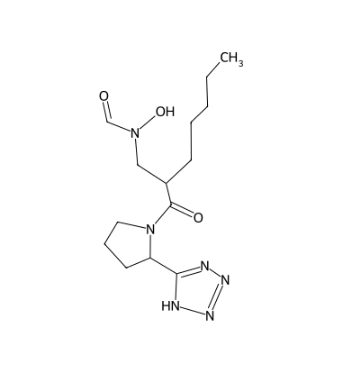 CCCCCC(CN(O)C=O)C(=O)N1CCCC1c1nnn[nH]1